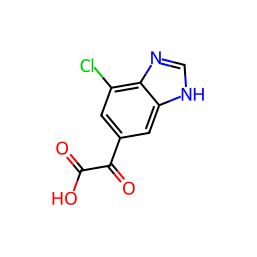 O=C(O)C(=O)c1cc(Cl)c2nc[nH]c2c1